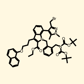 CCOC(=O)c1c(CCCOc2cccc3ccccc23)c2cccc(-c3c(CBr)nn(C)c3C)c2n1Cc1ccccc1CN(C(=O)OC(C)(C)C)C(=O)OC(C)(C)C